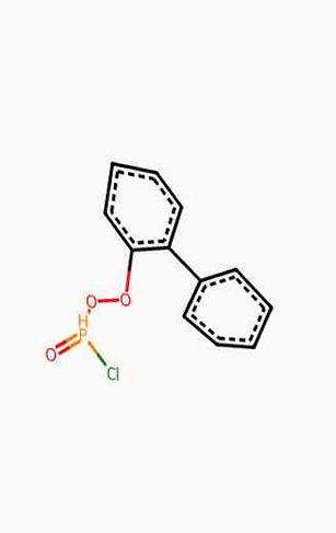 O=[PH](Cl)OOc1ccccc1-c1ccccc1